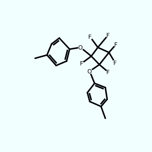 Cc1ccc(OC2(F)C(F)(F)C(F)(F)C2(F)Oc2ccc(C)cc2)cc1